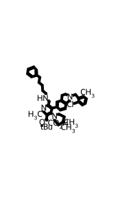 Cc1cccc(Cl)c1CN1CCc2cc(-c3c(CNCCCCCc4ccccc4)nc(C)c(C(OC(C)(C)C)C(=O)O)c3N3CCC(C)(C)CC3)ccc2C1